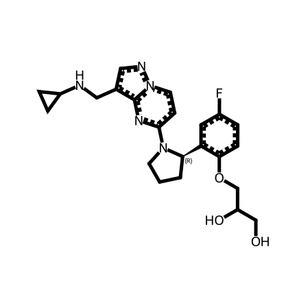 OCC(O)COc1ccc(F)cc1[C@H]1CCCN1c1ccn2ncc(CNC3CC3)c2n1